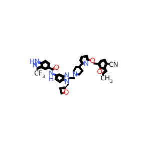 Cc1cc2c(C#N)ccc(COc3cccc(C4CCN(Cc5nc6cc(NC(=O)c7ccc8[nH]nc(C(F)(F)F)c8c7)ccc6n5C[C@@H]5CCO5)CC4)n3)c2o1